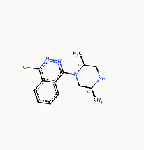 C[C@H]1CN(c2nnc(Cl)c3ccccc23)[C@@H](C)CN1